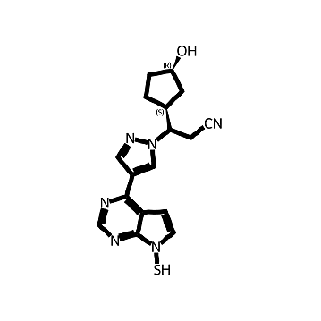 N#CCC([C@H]1CC[C@@H](O)C1)n1cc(-c2ncnc3c2ccn3S)cn1